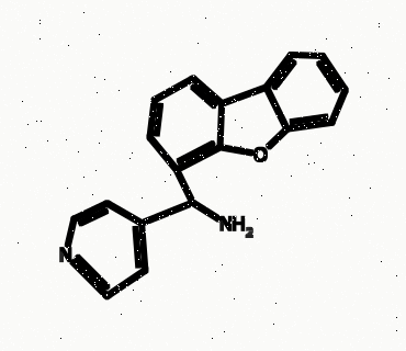 NC(c1ccncc1)c1cccc2c1oc1ccccc12